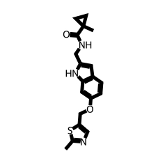 Cc1ncc(COc2ccc3cc(CNC(=O)C4(C)CC4)[nH]c3c2)s1